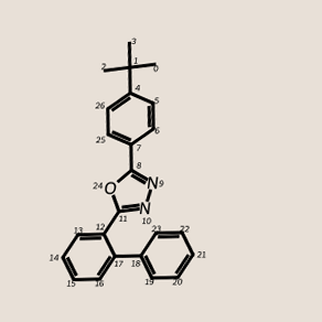 CC(C)(C)c1ccc(-c2nnc(-c3ccccc3-c3ccccc3)o2)cc1